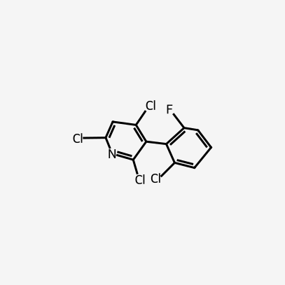 Fc1cccc(Cl)c1-c1c(Cl)cc(Cl)nc1Cl